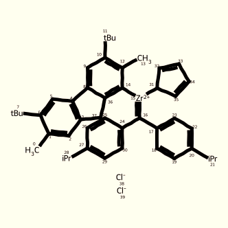 Cc1cc2c(cc1C(C)(C)C)-c1cc(C(C)(C)C)c(C)[c]([Zr+2](=[C](c3ccc(C(C)C)cc3)c3ccc(C(C)C)cc3)[CH]3C=CC=C3)c1C2.[Cl-].[Cl-]